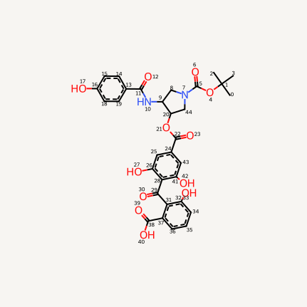 CC(C)(C)OC(=O)N1CC(NC(=O)c2ccc(O)cc2)C(OC(=O)c2cc(O)c(C(=O)c3c(O)cccc3C(=O)O)c(O)c2)C1